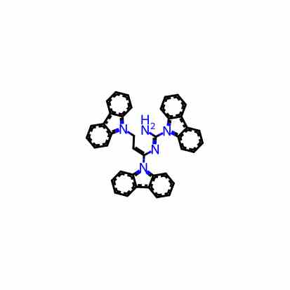 N/C(=N\C(=C/Cn1c2ccccc2c2ccccc21)n1c2ccccc2c2ccccc21)n1c2ccccc2c2ccccc21